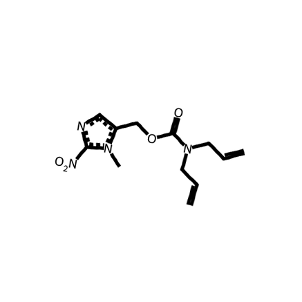 C=CCN(CC=C)C(=O)OCc1cnc([N+](=O)[O-])n1C